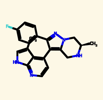 Cc1c[nH]c2nccc(-c3c(-c4ccc(F)cc4)nn4c3CN[C@H](C)C4)c12